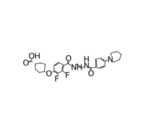 O=C(NCCNC(=O)c1ccc(O[C@H]2CC[C@@H](C(=O)O)CC2)c(F)c1F)c1ccc(N2CCCCC2)cc1